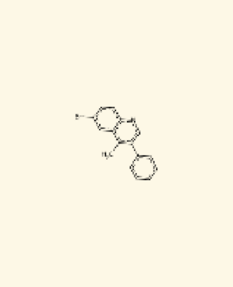 Cc1c(-c2ccccc2)cnc2ccc(Br)cc12